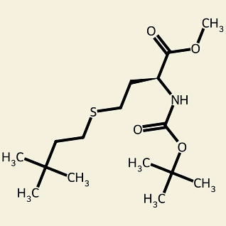 COC(=O)[C@H](CCSCCC(C)(C)C)NC(=O)OC(C)(C)C